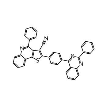 N#Cc1c(-c2ccc(-c3nc(-c4ccccc4)nc4ccccc34)cc2)sc2c1c(-c1ccccc1)nc1ccccc12